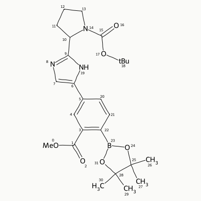 COC(=O)c1cc(-c2cnc(C3CCCN3C(=O)OC(C)(C)C)[nH]2)ccc1B1OC(C)(C)C(C)(C)O1